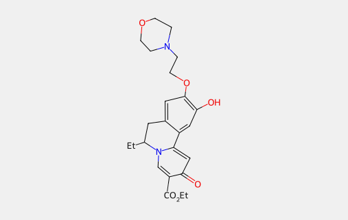 CCOC(=O)c1cn2c(cc1=O)-c1cc(O)c(OCCN3CCOCC3)cc1CC2CC